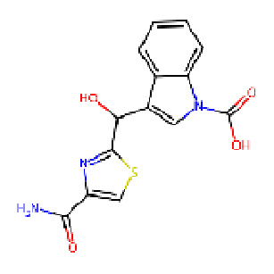 NC(=O)c1csc(C(O)c2cn(C(=O)O)c3ccccc23)n1